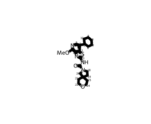 COc1ncc(C2CCCCC2)c2sc(NC(=O)N3CCC4(CCOCC4)C3)nc12